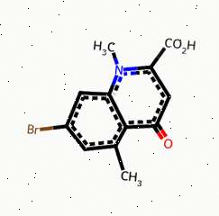 Cc1cc(Br)cc2c1c(=O)cc(C(=O)O)n2C